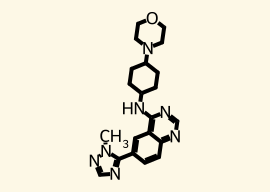 Cn1ncnc1-c1ccc2ncnc(NC3CCC(N4CCOCC4)CC3)c2c1